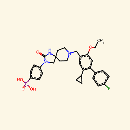 CCOc1cc(-c2ccc(F)cc2)c(C2CC2)cc1CN1CCC2(CC1)CN(c1ccc(P(=O)(O)O)cc1)C(=O)N2